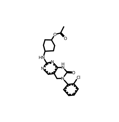 CC(=O)OC1CCC(Nc2ncc3c(n2)NC(=O)N(c2ccccc2Cl)C3)CC1